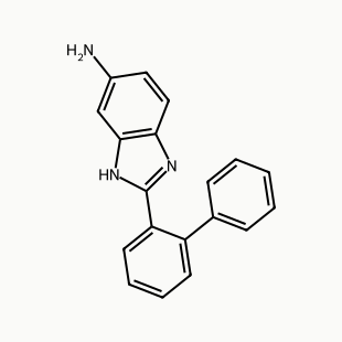 Nc1ccc2nc(-c3ccccc3-c3ccccc3)[nH]c2c1